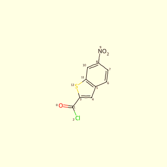 O=C(Cl)c1cc2ccc([N+](=O)[O-])cc2s1